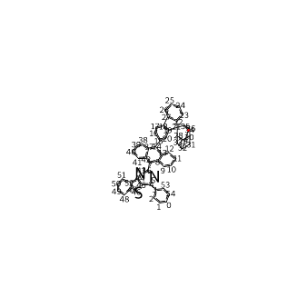 c1ccc(-c2nc(-c3c4ccccc4c(-c4ccc5c(c4)C4(c6ccccc6-5)C5CC6CC(C5)CC4C6)c4ccccc34)nc3c2sc2ccccc23)cc1